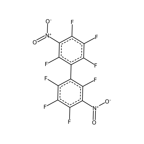 O=[N+]([O-])c1c(F)c(F)c(F)c(-c2c(F)c(F)c(F)c([N+](=O)[O-])c2F)c1F